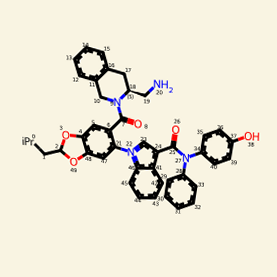 CC(C)CC1Oc2cc(C(=O)N3Cc4ccccc4C[C@H]3CN)c(-n3cc(C(=O)N(c4ccccc4)c4ccc(O)cc4)c4ccccc43)cc2O1